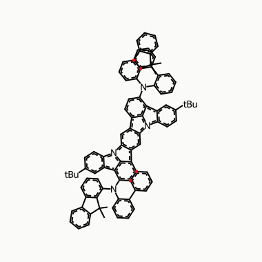 CC(C)(C)c1ccc2c(c1)c1c(N(c3ccccc3-c3ccccc3)c3cccc4c3C(C)(C)c3ccccc3-4)ccc3c4cc5c(cc4n2c31)c1ccc(N(c2ccccc2-c2ccccc2)c2cccc3c2C(C)(C)c2ccccc2-3)c2c3cc(C(C)(C)C)ccc3n5c12